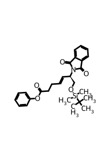 CC(C)(C)[Si](C)(C)OC[C@@H](C=CCCC(=O)Oc1ccccc1)N1C(=O)c2ccccc2C1=O